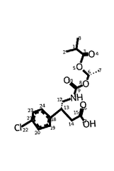 CC(C)C(=O)O[C@H](C)OC(=O)NC[C@H](CC(=O)O)c1ccc(Cl)cc1